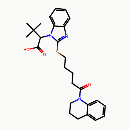 CC(C)(C)C(C(=O)O)n1c(SCCCCC(=O)N2CCCc3ccccc32)nc2ccccc21